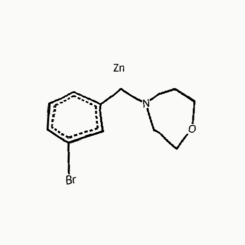 Brc1cccc(CN2CCOCC2)c1.[Zn]